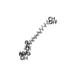 C=C(O)CCCCCCCCCCCCCCCCC(=O)N1CCC(C(=O)NCC(=O)O)CC1